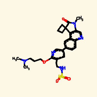 CN(C)CCCOc1ncc(-c2ccc3ncc4c(c3c2)C2(CCC2)C(=O)N4C)cc1CN[SH](=O)=O